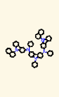 c1ccc(N(c2ccc3c(c2)c2cc(N(c4ccccc4)c4ccc5c(c4)c4ccccc4n5-c4cccc5ccccc45)ccc2n3-c2ccccc2)c2ccc3c(c2)c2ccccc2n3-c2cccc3ccccc23)cc1